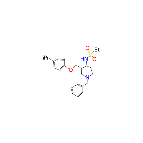 CCS(=O)(=O)NC1CCN(Cc2ccccc2)CC1COc1ccc(C(C)C)cc1